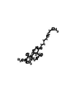 CCCCCCCCOc1nsc(NC(=O)N(C)C)c1C(N)=O